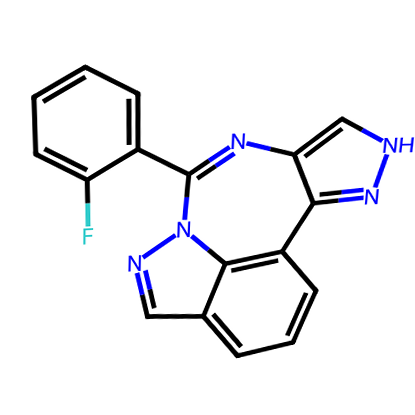 Fc1ccccc1C1=Nc2c[nH]nc2-c2cccc3cnn1c23